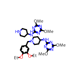 CCOc1ccc(CN2CCC(Nc3nc(OC)nc(OC)n3)CC2)cc1OCC.COc1nc(NC2CCNCC2)nc(OC)n1